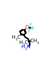 Cc1ccc(OC(F)(F)F)cc1CCC(C)(C)CN